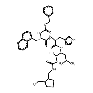 CCN1CCCC1CNC(=O)CC(O)C(CC(C)C)NC(=O)[C@H](Cc1c[nH]cn1)NC(=O)[C@H](Cc1cccc2ccccc12)NC(=O)OCc1ccccc1